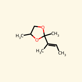 CC=C(C)C1(C)OCC(C)O1